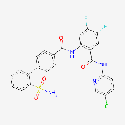 NS(=O)(=O)c1ccccc1-c1ccc(C(=O)Nc2cc(F)c(F)cc2C(=O)Nc2ccc(Cl)cn2)cc1